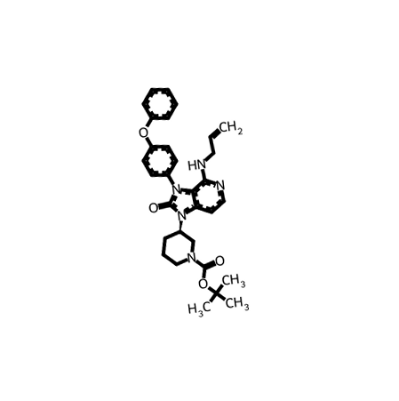 C=CCNc1nccc2c1n(-c1ccc(Oc3ccccc3)cc1)c(=O)n2[C@@H]1CCCN(C(=O)OC(C)(C)C)C1